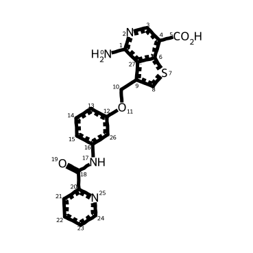 Nc1ncc(C(=O)O)c2scc(COc3cccc(NC(=O)c4ccccn4)c3)c12